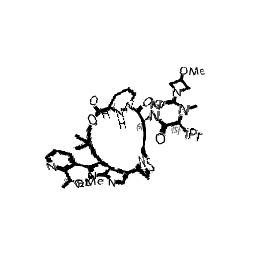 CCn1c(-c2cccnc2[C@H](C)OC)c2c3cc(cnc31)-c1csc(n1)C[C@H](NC(=O)[C@H](C(C)C)N(C)C(=O)N1CC(OC)C1)C(=O)N1CCC[C@H](N1)C(=O)OCC(C)(C)C2